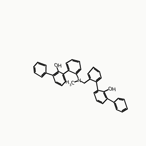 CN(Cc1ccccc1-c1cccc(-c2ccccc2)c1O)c1ccccc1-c1cccc(-c2ccccc2)c1O